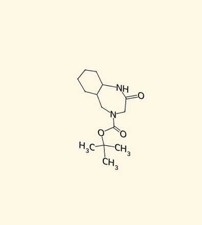 CC(C)(C)OC(=O)N1CC(=O)NC2CCCCC2C1